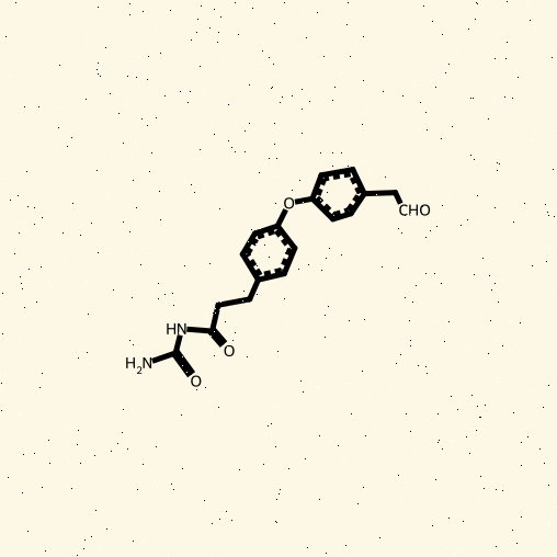 NC(=O)NC(=O)CCc1ccc(Oc2ccc(CC=O)cc2)cc1